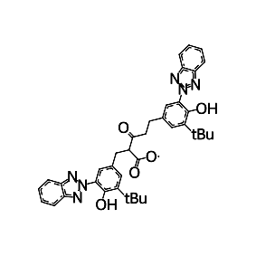 CC(C)(C)c1cc(CCC(=O)C(Cc2cc(-n3nc4ccccc4n3)c(O)c(C(C)(C)C)c2)C([O])=O)cc(-n2nc3ccccc3n2)c1O